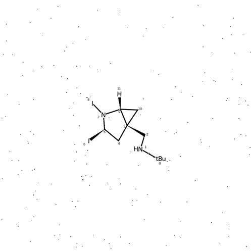 CC(C)(C)NC[C@@]12C[C@@H](I)N(I)[C@@H]1C2